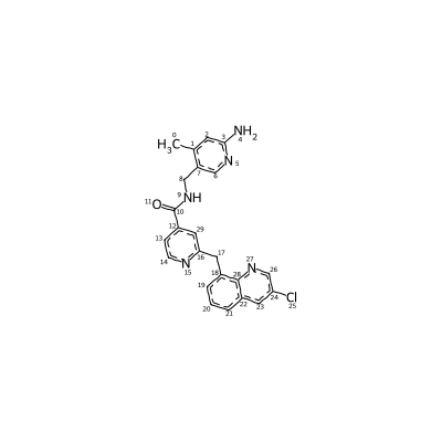 Cc1cc(N)ncc1CNC(=O)c1ccnc(Cc2cccc3cc(Cl)cnc23)c1